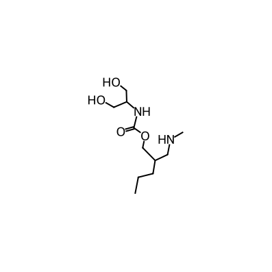 CCCC(CNC)COC(=O)NC(CO)CO